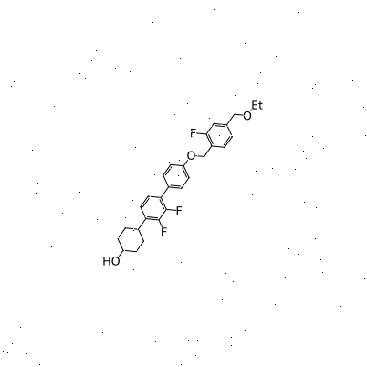 CCOCc1ccc(COc2ccc(-c3ccc(C4CCC(O)CC4)c(F)c3F)cc2)c(F)c1